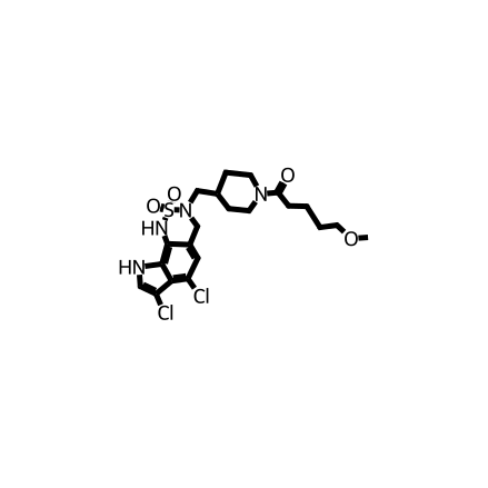 COCCCCC(=O)N1CCC(CN2Cc3cc(Cl)c4c(Cl)c[nH]c4c3NS2(=O)=O)CC1